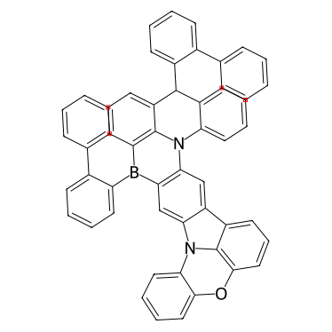 c1ccc(-c2ccccc2B2c3cc4c(cc3N3c5ccccc5C(c5ccccc5-c5ccccc5)c5cccc2c53)c2cccc3c2n4-c2ccccc2O3)cc1